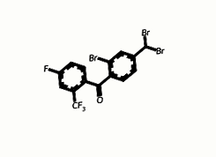 O=C(c1ccc(C(Br)Br)cc1Br)c1ccc(F)cc1C(F)(F)F